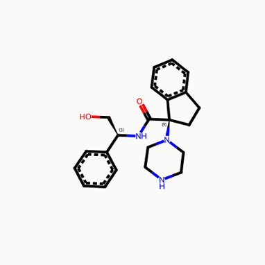 O=C(N[C@H](CO)c1ccccc1)[C@@]1(N2CCNCC2)CCc2ccccc21